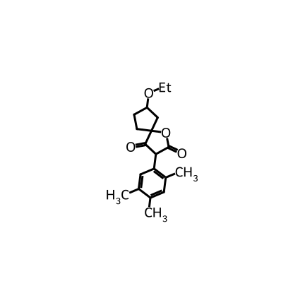 CCOC1CCC2(C1)OC(=O)C(c1cc(C)c(C)cc1C)C2=O